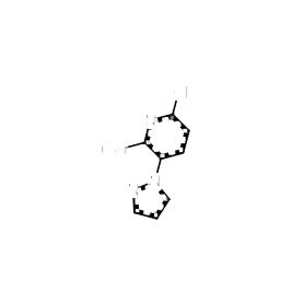 Cc1ccc(-n2cccn2)c(C(C)(C)C)n1